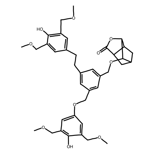 COCc1cc(CCc2cc(COc3cc(COC)c(O)c(COC)c3)cc(COC3C4CC5C(=O)OC3C5C4)c2)cc(COC)c1O